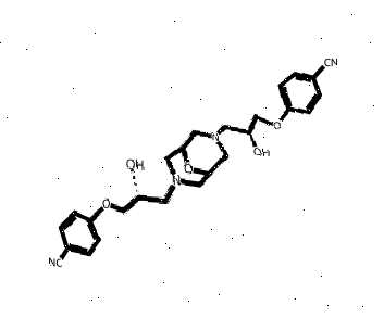 N#Cc1ccc(OC[C@@H](O)CN2CC3CN(C[C@@H](O)COc4ccc(C#N)cc4)CC(C2)O3)cc1